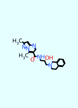 Cc1cc2ncc(C(=O)NC[C@H](O)CN3CCc4ccccc4C3)c(C)n2n1